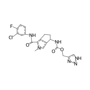 Cn1cc2c(c1C(=O)Nc1ccc(F)c(Cl)c1)CCC2NC(=O)OCc1c[nH]nn1